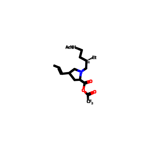 CC=CC1CC(C(=O)OC(=O)C(F)(F)F)N(C[C@@H](CC)CCNC(C)=O)C1